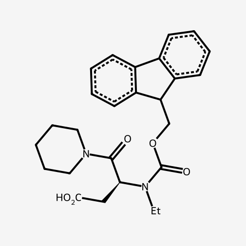 CCN(C(=O)OCC1c2ccccc2-c2ccccc21)[C@@H](CC(=O)O)C(=O)N1CCCCC1